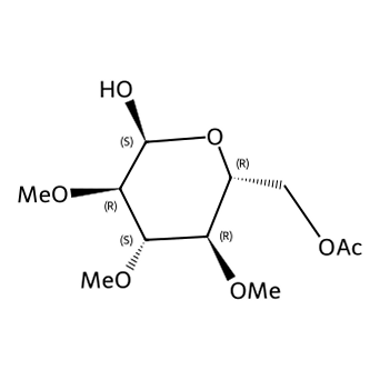 CO[C@@H]1[C@@H](OC)[C@@H](O)O[C@H](COC(C)=O)[C@H]1OC